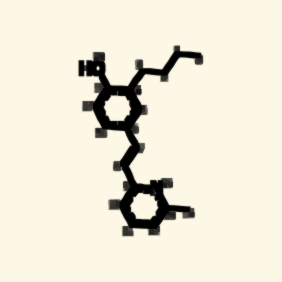 CCCCc1cc(C=Cc2cccc(C)n2)ccc1O